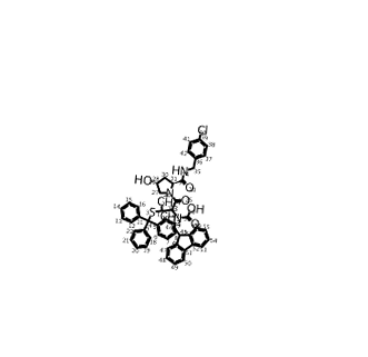 CC(C)(SC(c1ccccc1)(c1ccccc1)c1ccccc1)C(C(=O)N1C[C@H](O)C[C@H]1C(=O)NCc1ccc(Cl)cc1)N(CC1c2ccccc2-c2ccccc21)C(=O)O